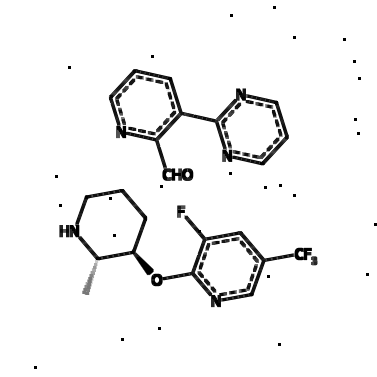 C[C@@H]1NCCC[C@H]1Oc1ncc(C(F)(F)F)cc1F.O=Cc1ncccc1-c1ncccn1